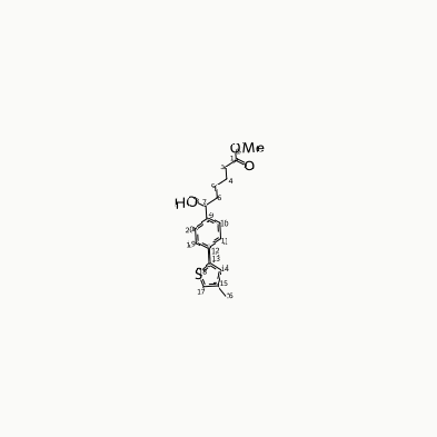 COC(=O)CCCCC(O)c1ccc(-c2cc(C)cs2)cc1